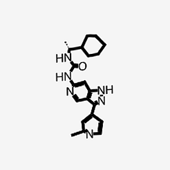 Cc1cc(-c2n[nH]c3cc(NC(=O)N[C@H](C)C4CCCCC4)ncc23)ccn1